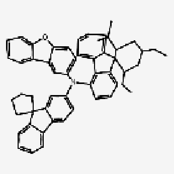 CCC1CC(CC)C2(c3ccccc3-c3c(N(c4ccc5c(c4)C4(CCCC4)c4ccccc4-5)c4ccc5oc6ccccc6c5c4)cccc32)C(C(C)C)C1